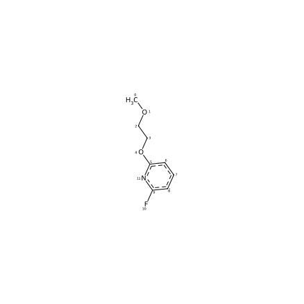 COCCOc1cc[c]c(F)n1